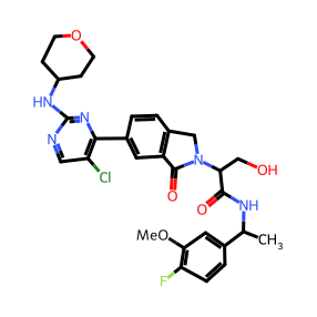 COc1cc(C(C)NC(=O)C(CO)N2Cc3ccc(-c4nc(NC5CCOCC5)ncc4Cl)cc3C2=O)ccc1F